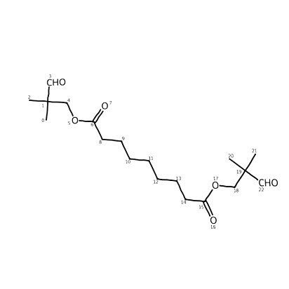 CC(C)(C=O)COC(=O)CCCCCCCC(=O)OCC(C)(C)C=O